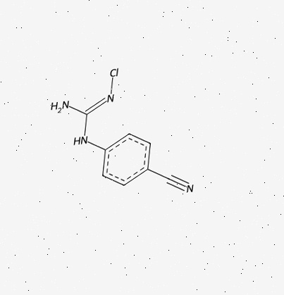 N#Cc1ccc(NC(N)=NCl)cc1